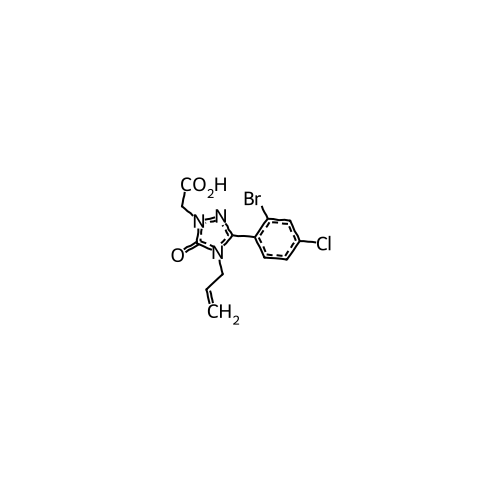 C=CCn1c(-c2ccc(Cl)cc2Br)nn(CC(=O)O)c1=O